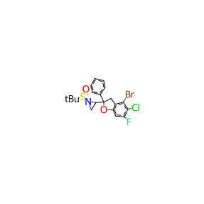 CC(C)(C)[S+]([O-])N1CC1C1(c2ccccc2)Cc2c(cc(F)c(Cl)c2Br)O1